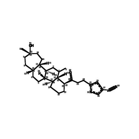 CC1C[C@H]2[C@@H](CC[C@@H]3CC[C@](C)(O)CC[C@@H]32)[C@@H]2CCC[C@H](C(=O)CCn3cc(C#N)cn3)[C@@H]12